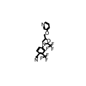 N#Cc1ccc(N2CC(COc3cccnc3)OC2C(F)(F)F)cc1C(F)(F)F